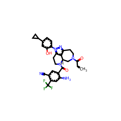 C=CC(=O)N1CCc2nn(-c3ccc(C4CC4)cc3O)c3c2[C@H](C1)N(C(=O)c1cc(C#N)c(C(F)(F)F)cc1N)CC3